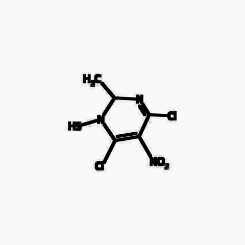 CC1N=C(Cl)C([N+](=O)[O-])=C(Cl)N1S